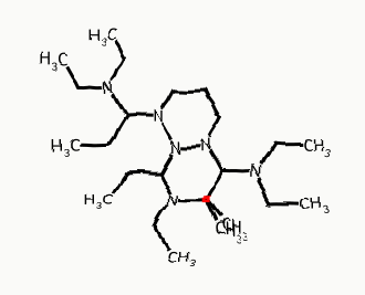 CCC(N(CC)CC)N1CCCN(C(CC)N(CC)CC)N1C(CC)N(CC)CC